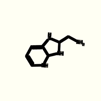 NCC1BC2=CC=CNC2N1